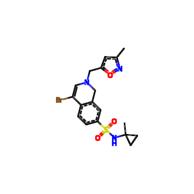 Cc1cc(CN2C=C(Br)c3ccc(S(=O)(=O)NC4(C)CC4)cc3C2)on1